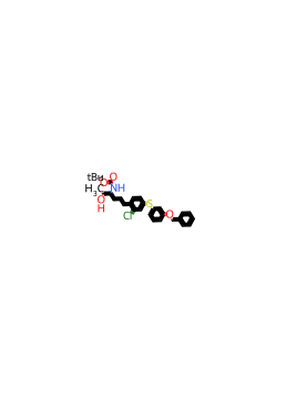 CC(O)C(CCCc1ccc(Sc2cccc(OCc3ccccc3)c2)cc1Cl)NC(=O)OC(C)(C)C